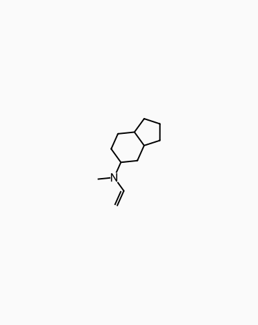 C=CN(C)C1CCC2CCCC2C1